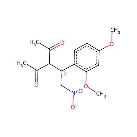 COc1ccc([C@H](C[N+](=O)[O-])C(C(C)=O)C(C)=O)c(OC)c1